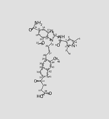 CCn1nc(C)cc1C(=O)Nc1nc2cc(C(N)=O)cc(OC)c2n1C/C=C/Cc1cc2cc(C(=O)CCC(=O)O)sc2cc1OC